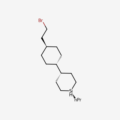 CCC[Si@H]1CC[C@H]([C@H]2CC[C@H](CCBr)CC2)CC1